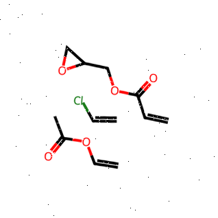 C=CC(=O)OCC1CO1.C=CCl.C=COC(C)=O